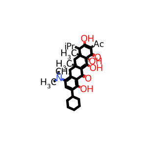 CC(=O)C1=C(O)C(C(C)C)[C@@]2(C)C[C@@]3(C)Cc4c(N(C)C)cc(C5CCCCC5)c(O)c4C(=O)C3=C(O)[C@@]2(O)C1=O